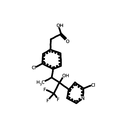 CC(c1ccc(CC(=O)O)cc1Cl)C(O)(c1ccnc(Cl)c1)C(F)(F)F